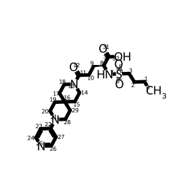 CCCCS(=O)(=O)N[C@@H](CCC(=O)N1CCC2(CC1)CCN(c1ccncc1)CC2)C(=O)O